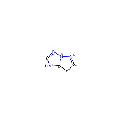 C1=NN2N=CNC2C1